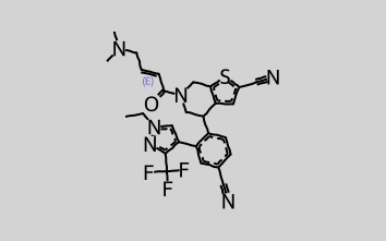 CCn1cc(-c2cc(C#N)ccc2C2CN(C(=O)/C=C/CN(C)C)Cc3sc(C#N)cc32)c(C(F)(F)F)n1